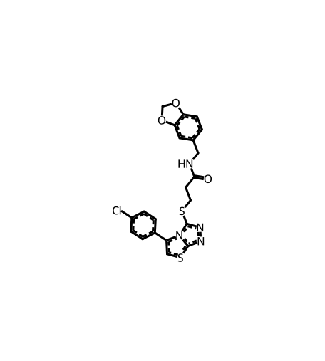 O=C(CCSc1nnc2scc(-c3ccc(Cl)cc3)n12)NCc1ccc2c(c1)OCO2